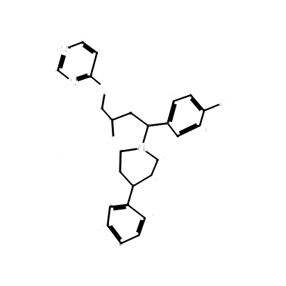 CC(COc1ccncn1)CC(c1ccc(F)cc1)N1CCC(c2ccccc2)CC1.Cl